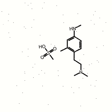 CNc1ccc(CCN(C)C)c(C)c1.CS(=O)(=O)O